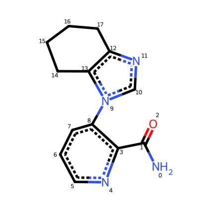 NC(=O)c1ncccc1-n1cnc2c1CCCC2